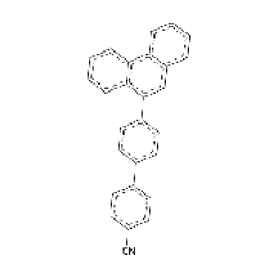 N#Cc1ccc(-c2ccc(-c3cc4ccccc4c4ccccc34)cc2)cc1